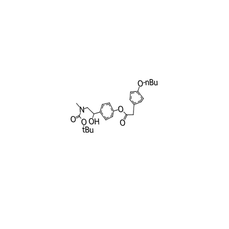 CCCCOc1ccc(CC(=O)Oc2ccc(C(O)CN(C)C(=O)OC(C)(C)C)cc2)cc1